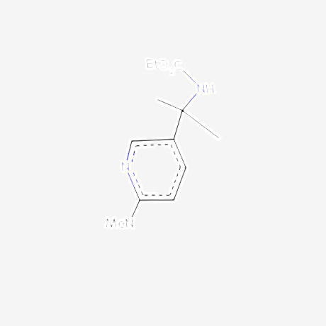 CCOC(=O)NC(C)(C)c1ccc(NC)nc1